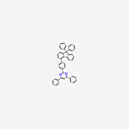 c1ccc(-c2cc(-c3ccccc3)nc(-c3ccc(-c4cccc5c4-c4ccccc4C5(c4ccccc4)c4ccccc4)cc3)n2)cc1